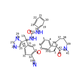 CC[C@@]1(c2cccc(Oc3cc(C(C)(NC(=O)Nc4ccccc4)c4cncn4C)ccc3C#N)c2)CCCCN(C)C1=O